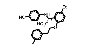 CCc1ccc(OCCc2cccc(F)c2)c([C@@H](Nc2ccc(C#N)cc2)C(=O)O)c1